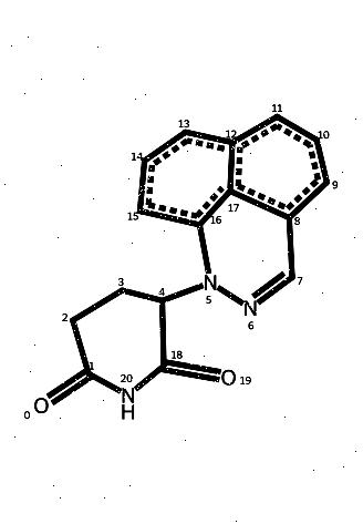 O=C1CCC(N2N=Cc3cccc4cccc2c34)C(=O)N1